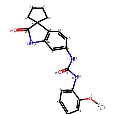 COc1ccccc1NC(=O)Nc1ccc2c(c1)NC(=O)C21CCCC1